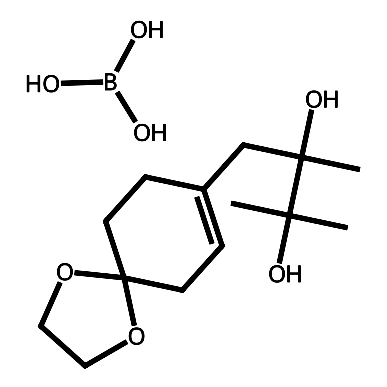 CC(C)(O)C(C)(O)CC1=CCC2(CC1)OCCO2.OB(O)O